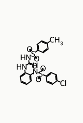 Cc1ccc(S(=O)(=O)NC(=O)Nc2ccccc2NS(=O)(=O)c2ccc(Cl)cc2)cc1